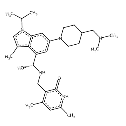 Cc1cc(C)c(CN[C@H](O)c2cc(N3CCC(CN(C)C)CC3)cc3c2c(C)cn3C(C)C)c(=O)[nH]1